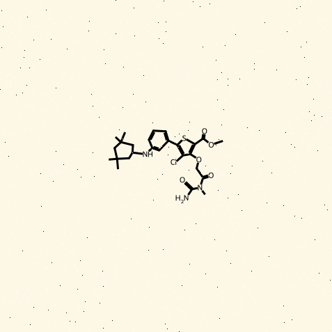 COC(=O)c1sc(-c2cccc(NC3CC(C)(C)CC(C)(C)C3)c2)c(Cl)c1OCC(=O)N(C)C(N)=O